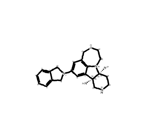 c1ccc2c(c1)CN(c1cc3c4c(c1)[C@@H]1CNCC[C@@H]1N4CCOC3)C2